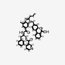 CCCc1nc2c(C)cc(C(=O)N[C@@H](CSC(=O)c3cccnc3)Cc3ccccc3)cc2n1Cc1ccc(-c2ccccc2C(=O)O)cc1